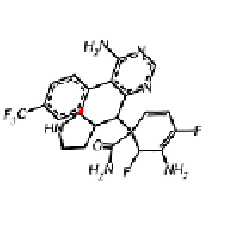 NC(=O)C1(C(c2ncnc(N)c2-c2ccc(C(F)(F)F)cc2)C2CCNC2)C=CC(F)=C(N)C1F